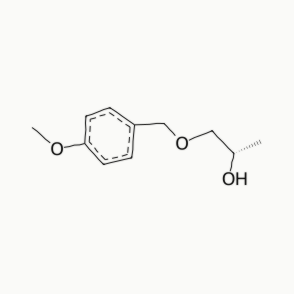 COc1ccc(COC[C@H](C)O)cc1